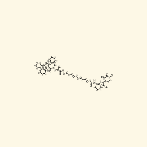 CN1C(=O)CCC(C2Cc3c(NC(=O)COCCOCCOCCOCCNC(=O)CN4Cc5ccccc5[C@@H]5OC(c6ccccc6)=N[C@]5(Cc5ccccc5)C4=O)cccc3C2=O)C1=O